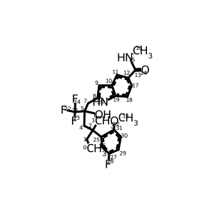 CCC(C)(CC(O)(Cc1cc2cc(C(=O)NC)ccc2[nH]1)C(F)(F)F)c1cc(F)ccc1OC